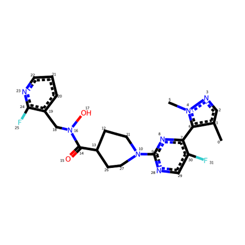 Cc1cnn(C)c1-c1nc(N2CCC(C(=O)N(O)Cc3cccnc3F)CC2)ncc1F